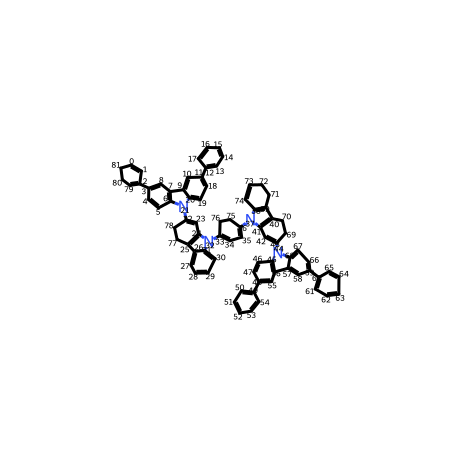 C1=CC(c2ccc3c(c2)c2cc(-c4ccccc4)ccc2n3C2=Cc3c(c4ccccc4n3C3=CC=C(n4c5c(c6c4C=C(n4c7ccc(-c8ccccc8)cc7c7cc(-c8ccccc8)ccc74)CC6)CCC=C5)CC3)CC2)=CCC1